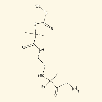 CCSC(=S)SC(C)(C)C(=O)NCCNC(C)(CC)C(=O)CN